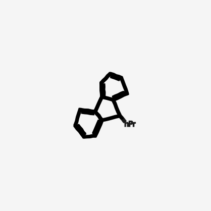 CCCC1c2ccccc2-c2ccccc21